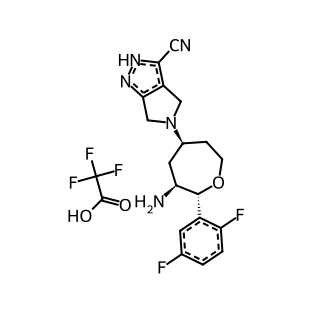 N#Cc1[nH]nc2c1CN([C@H]1CCO[C@H](c3cc(F)ccc3F)[C@@H](N)C1)C2.O=C(O)C(F)(F)F